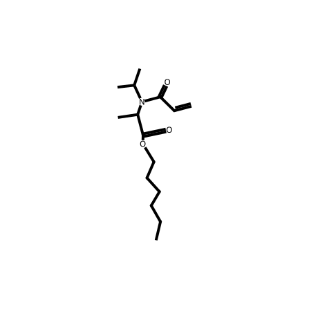 C=CC(=O)N(C(C)C)C(C)C(=O)OCCCCCC